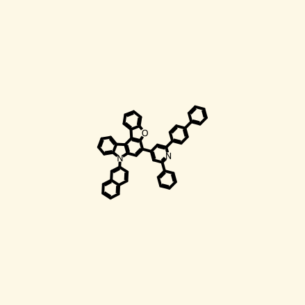 c1ccc(-c2ccc(-c3cc(-c4cc5c(c6ccccc6n5-c5ccc6ccccc6c5)c5c4oc4ccccc45)cc(-c4ccccc4)n3)cc2)cc1